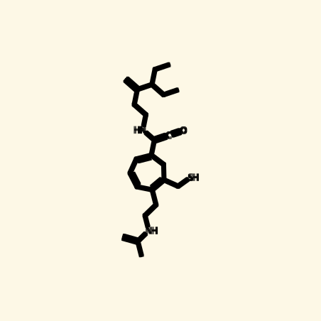 C=C(C)NCCC1=C(CS)CC(C(=C=O)NCCC(=C)C(CC)CC)=CC=C1